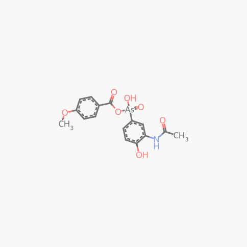 COc1ccc(C(=O)O[As](=O)(O)c2ccc(O)c(NC(C)=O)c2)cc1